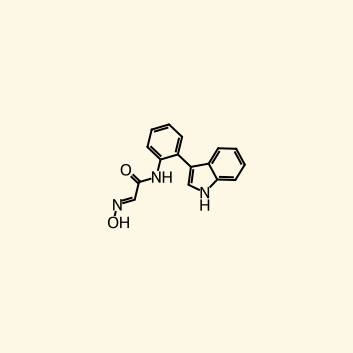 O=C(C=NO)Nc1ccccc1-c1c[nH]c2ccccc12